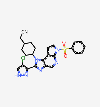 N#CCC1CCC(n2c(-c3n[nH]cc3Cl)nc3cnc4c(ccn4S(=O)(=O)c4ccccc4)c32)CC1